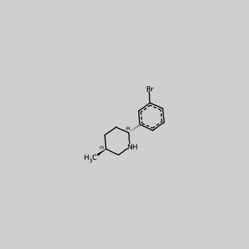 C[C@H]1CC[C@H](c2cccc(Br)c2)NC1